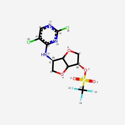 O=S(=O)(O[C@@H]1COC2C1OC[C@H]2Nc1nc(Cl)ncc1Cl)C(F)(F)F